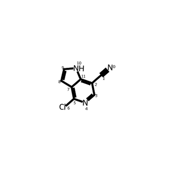 N#Cc1cnc(Cl)c2cc[nH]c12